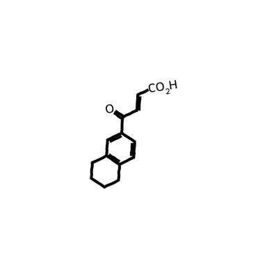 O=C(O)/C=C/C(=O)c1ccc2c(c1)CCCC2